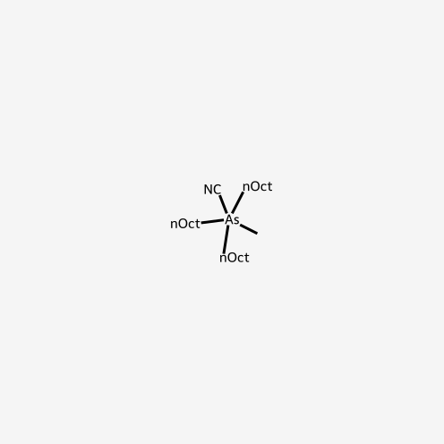 CCCCCCCC[As](C)(C#N)(CCCCCCCC)CCCCCCCC